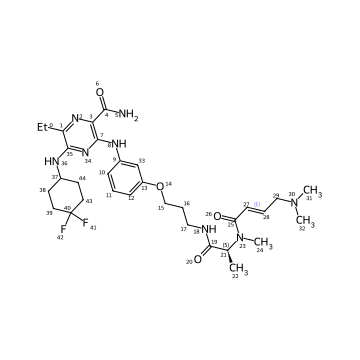 CCc1nc(C(N)=O)c(Nc2cccc(OCCCNC(=O)[C@H](C)N(C)C(=O)/C=C/CN(C)C)c2)nc1NC1CCC(F)(F)CC1